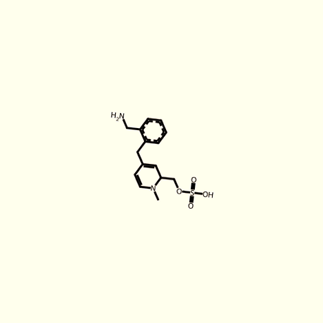 CN1C=CC(Cc2ccccc2CN)=CC1COS(=O)(=O)O